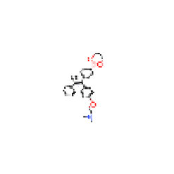 CC/C(=C(/c1ccc(OCCN(C)C)cc1)c1ccc(B2OCCCO2)cc1)c1ccccc1